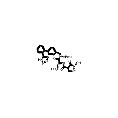 CCCCCN(Cc1ccc(-c2ccccc2-c2nnn[nH]2)cc1)C(=O)[C@H](CC(=O)O)NC(=O)C(CC(C)C)C(=O)NO